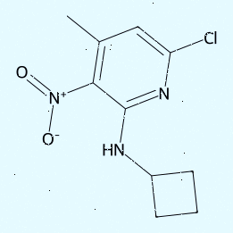 Cc1cc(Cl)nc(NC2CCC2)c1[N+](=O)[O-]